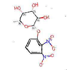 C[C@H]1O[C@@H](Oc2cccc([N+](=O)[O-])c2[N+](=O)[O-])[C@H](O)[C@@H](O)[C@H]1O